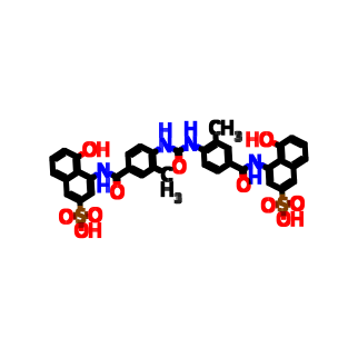 Cc1cc(C(=O)Nc2cc(S(=O)(=O)O)cc3cccc(O)c23)ccc1NC(=O)Nc1ccc(C(=O)Nc2cc(S(=O)(=O)O)cc3cccc(O)c23)cc1C